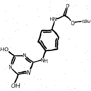 CC(C)(C)OC(=O)Nc1ccc(Nc2nc(O)nc(O)n2)cc1